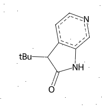 CC(C)(C)C1C(=O)Nc2cnccc21